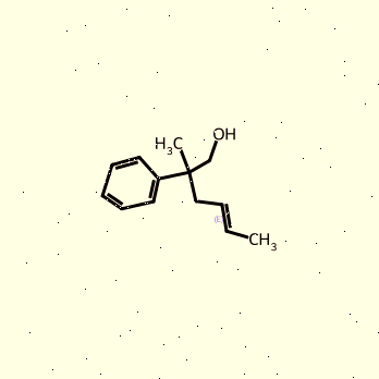 C/C=C/CC(C)(CO)c1ccccc1